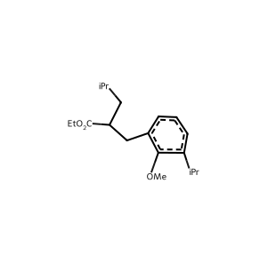 CCOC(=O)C(Cc1cccc(C(C)C)c1OC)CC(C)C